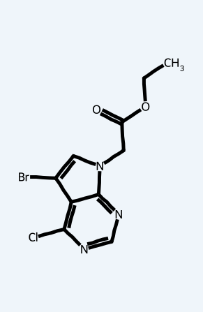 CCOC(=O)Cn1cc(Br)c2c(Cl)ncnc21